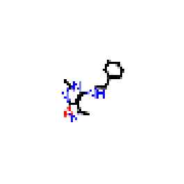 Cc1nc(NCCC2=CCCCC2)c2c(C)noc2n1